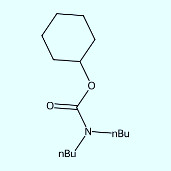 CCCCN(CCCC)C(=O)OC1CCCCC1